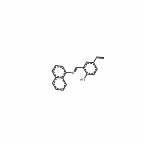 C=Cc1ccc(O)c(C=Nc2cccc3ccccc23)c1